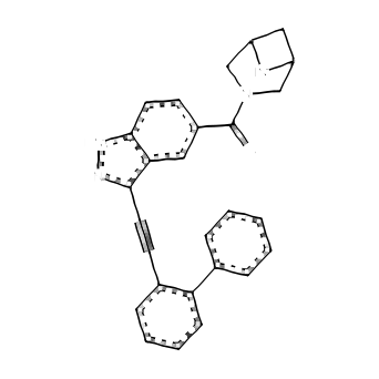 O=C(c1ccc2[nH]nc(C#Cc3ccccc3-c3ccccc3)c2c1)N1CC2CC(C1)N2